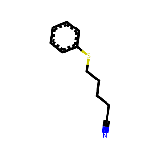 N#CC[CH]CCSc1ccccc1